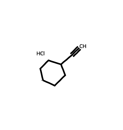 C#CC1CC[CH]CC1.Cl